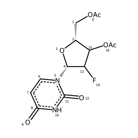 CC(=O)OC[C@H]1O[C@@H](n2ccc(=O)[nH]c2=O)C(F)C1OC(C)=O